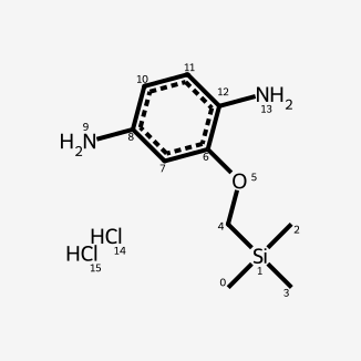 C[Si](C)(C)COc1cc(N)ccc1N.Cl.Cl